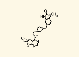 Cn1c(=O)[nH]c2cc(CN3CCC4(CCN(c5ncnc6sc(CC(F)(F)F)cc56)C4)C3)ccc21